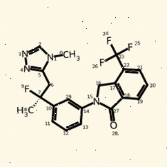 Cn1cnnc1C[C@](C)(F)c1cccc(N2Cc3c(cccc3C(F)(F)F)C2=O)c1